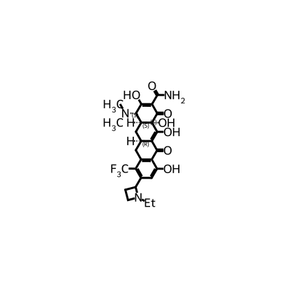 CCN1CCC1c1cc(O)c2c(c1C(F)(F)F)C[C@H]1C[C@H]3[C@H](N(C)C)C(O)=C(C(N)=O)C(=O)[C@@]3(O)C(O)=C1C2=O